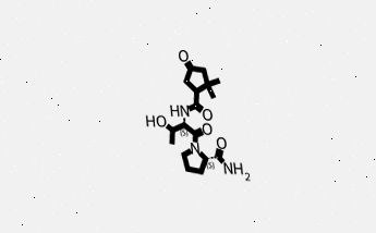 CC(O)[C@H](NC(=O)C1CC(=O)CC1(C)C)C(=O)N1CCC[C@H]1C(N)=O